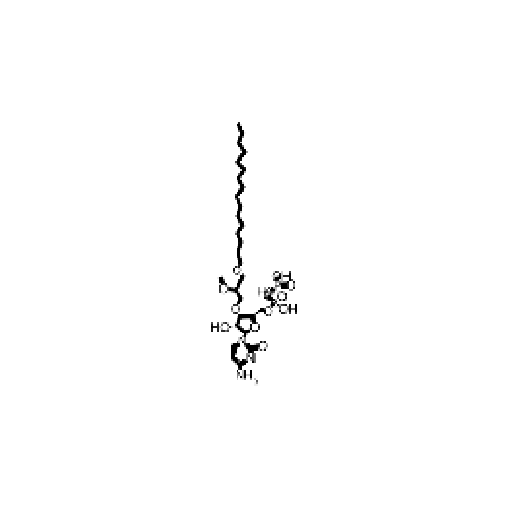 CCCCCCCCCCCCCCCCOCC(CO[C@H]1[C@@H](O)[C@H](n2ccc(N)nc2=O)O[C@@H]1COP(=O)(O)OP(=O)(O)O)OC